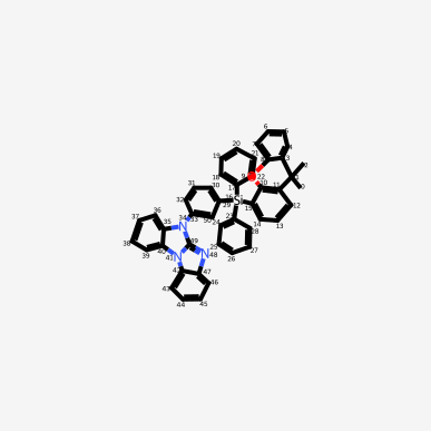 CC1(C)c2ccccc2Oc2c1cccc2[Si](c1ccccc1)(c1ccccc1)c1cccc(-n2c3ccccc3n3c4ccccc4nc23)c1